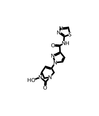 O=C(Nc1nncs1)c1ccn(C2=CC3CN(C2)C(=O)N3O)n1